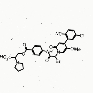 CCC(C(=O)Nc1ccc(C(=O)OCC(C(=O)O)N2CCCC2)cc1)n1cc(OC)c(-c2cc(Cl)ccc2C#N)cc1=O